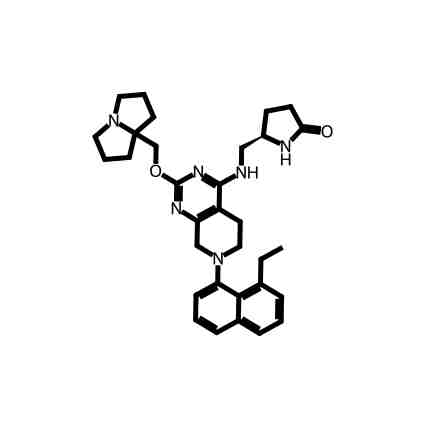 CCc1cccc2cccc(N3CCc4c(nc(OCC56CCCN5CCC6)nc4NC[C@H]4CCC(=O)N4)C3)c12